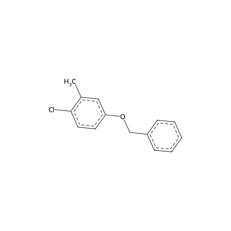 Cc1cc(OCc2ccccc2)ccc1Cl